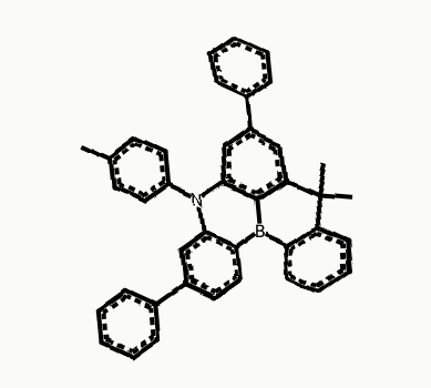 Cc1ccc(N2c3cc(-c4ccccc4)ccc3B3c4ccccc4C(C)(C)c4cc(-c5ccccc5)cc2c43)cc1